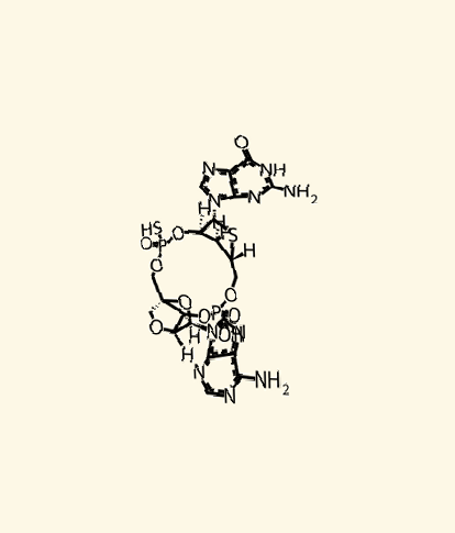 Nc1nc2c(ncn2[C@@H]2S[C@@H]3COP(=O)(O)O[C@H]4[C@H]5OC[C@]4(COP(=O)(S)O[C@@H]2[C@H]3F)O[C@H]5n2cnc3c(N)ncnc32)c(=O)[nH]1